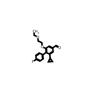 CCOCCOc1cc(C=O)cc(C2CC2)c1-c1ccc(F)cc1